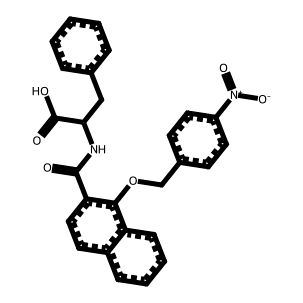 O=C(NC(Cc1ccccc1)C(=O)O)c1ccc2ccccc2c1OCc1ccc([N+](=O)[O-])cc1